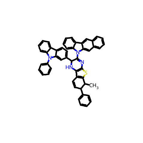 CC1c2sc3c(c2C=CC1c1ccccc1)NC(c1ccc2c4ccccc4n(-c4ccccc4)c2c1)C(n1c2ccccc2c2cc4ccccc4cc21)=N3